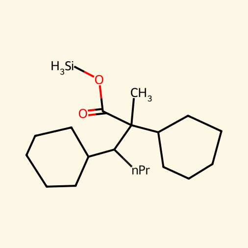 CCCC(C1CCCCC1)C(C)(C(=O)O[SiH3])C1CCCCC1